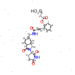 O=C(O)CCC(=O)Oc1ccccc1C#CC(=O)NCc1ccc2c(c1)CN(C1CCC(=O)NC1=O)C2=O